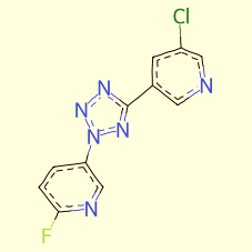 Fc1ccc(-n2nnc(-c3cncc(Cl)c3)n2)cn1